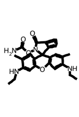 CCNc1cc2c(cc1C)C1(c3cc(C)c(NCC)cc3O2)c2ccccc2C(=O)N1OC(N)=O